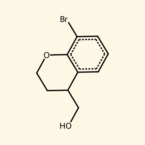 OCC1CCOc2c(Br)cccc21